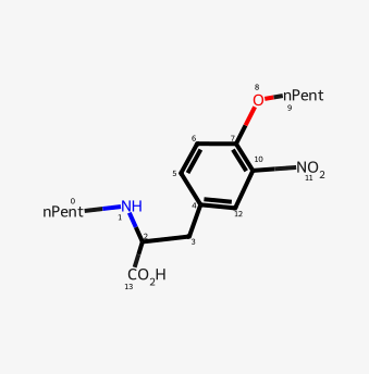 CCCCCNC(Cc1ccc(OCCCCC)c([N+](=O)[O-])c1)C(=O)O